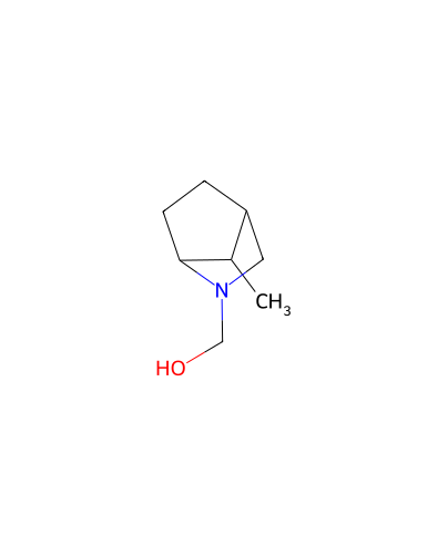 CC1C2CCC1N(CO)C2